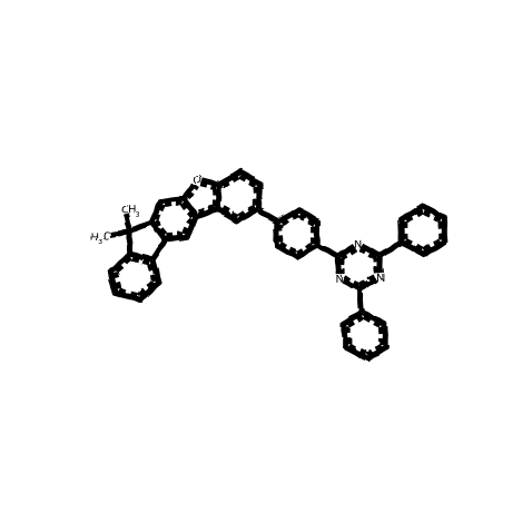 CC1(C)c2ccccc2-c2cc3c(cc21)oc1ccc(-c2ccc(-c4nc(-c5ccccc5)nc(-c5ccccc5)n4)cc2)cc13